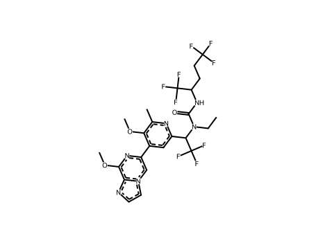 CCN(C(=O)NC(CCC(F)(F)F)C(F)(F)F)C(c1cc(-c2cn3ccnc3c(OC)n2)c(OC)c(C)n1)C(F)(F)F